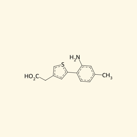 Cc1ccc(-c2cc(CC(=O)O)cs2)c(N)c1